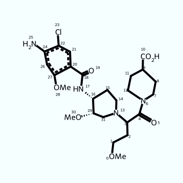 COCCC(C(=O)N1CCC(C(=O)O)CC1)N1CC[C@@H](NC(=O)c2cc(Cl)c(N)cc2OC)[C@@H](OC)C1